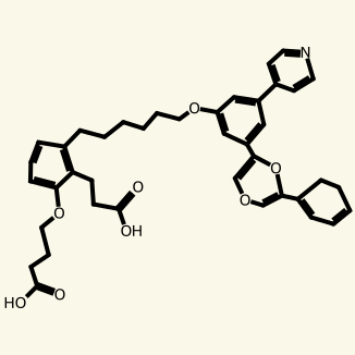 O=C(O)CCCOc1cccc(CCCCCCOc2cc(C3=COC=C(C4=CC=CCC4)O3)cc(-c3ccncc3)c2)c1CCC(=O)O